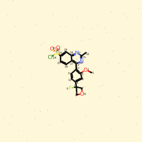 COc1cc(C2(F)COC2)ccc1-c1nc(C)nc2cc(S(=O)(=O)Cl)ccc12